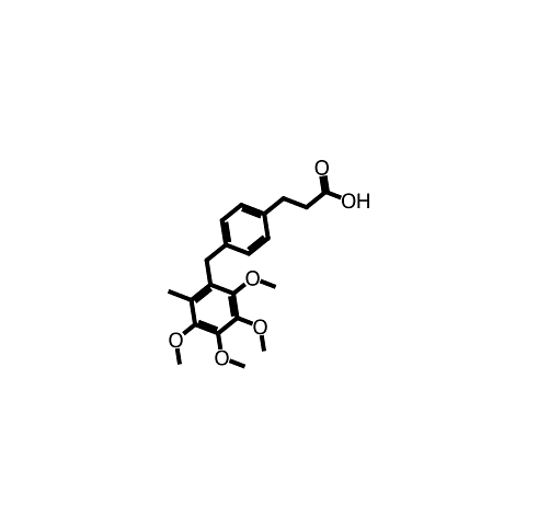 COc1c(C)c(Cc2ccc(CCC(=O)O)cc2)c(OC)c(OC)c1OC